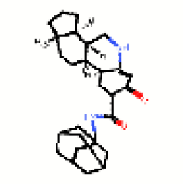 C[C@@]12CCC[C@H]1[C@@H]1CNC3=CC(=O)C(C(=O)NC45CC6CC(CC(C6)C4)C5)C[C@]3(C)[C@@H]1CC2